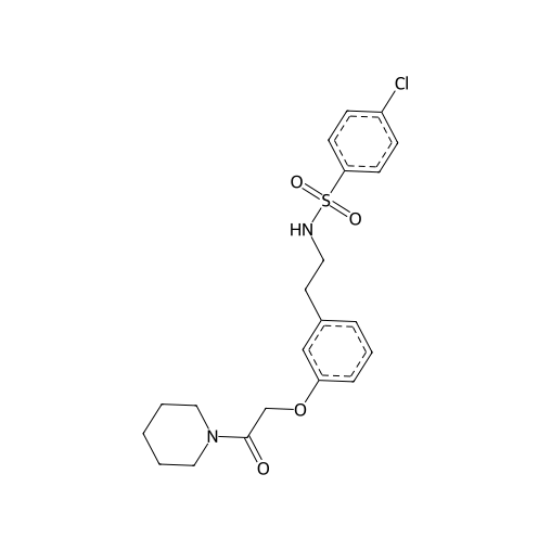 O=C(COc1cccc(CCNS(=O)(=O)c2ccc(Cl)cc2)c1)N1CCCCC1